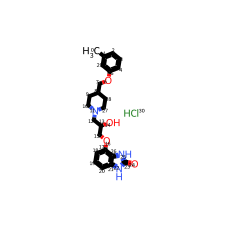 Cc1cccc(OCC2CCN(CC(O)COc3cccc4[nH]c(=O)[nH]c34)CC2)c1.Cl